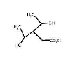 CCOC(=O)CC(C(C)O)C(C)O